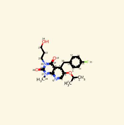 CC(C)Oc1cnc2c(c1Cc1ccc(F)cc1)c(=O)n(CCCO)c(=O)n2C